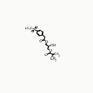 C=C(C)C(=O)OCC(O)COC(=O)Cc1ccc(S(C)(=O)=O)cc1